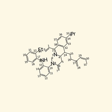 C=CC1=NC(CC(=C)N(C)c2ccccc2Nc2ccccc2CC)C(CCC(=C)/C=C\C)c2cc(C(C)C)ccc21